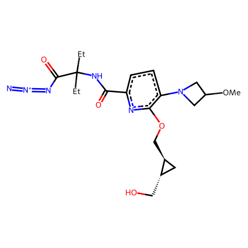 CCC(CC)(NC(=O)c1ccc(N2CC(OC)C2)c(OC[C@H]2C[C@@H]2CO)n1)C(=O)N=[N+]=[N-]